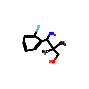 CC(C)(CO)C(N)c1ccccc1F